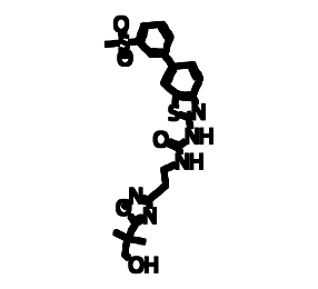 CC(C)(CO)c1nc(CCNC(=O)Nc2nc3ccc(-c4cccc(S(C)(=O)=O)c4)cc3s2)no1